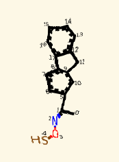 C/C(=N\OS)c1ccc2c(c1)Cc1ccccc1-2